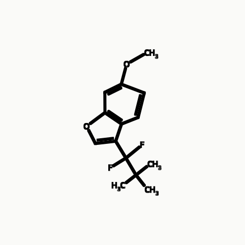 COc1ccc2c(C(F)(F)C(C)(C)C)coc2c1